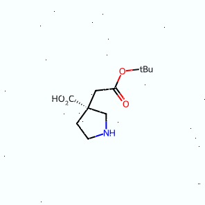 CC(C)(C)OC(=O)C[C@]1(C(=O)O)CCNC1